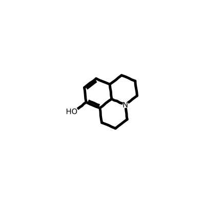 OC1=C2CCCN3CCCC(C=C1)C23